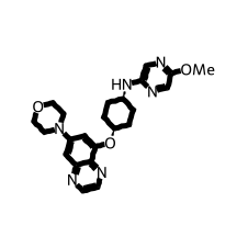 COc1cnc(N[C@H]2CC[C@@H](Oc3cc(N4CCOCC4)cc4nccnc34)CC2)cn1